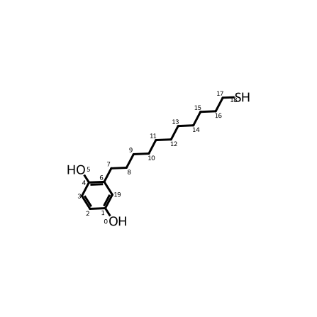 Oc1ccc(O)c(CCCCCCCCCCCS)c1